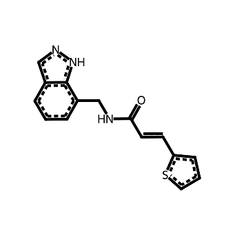 O=C(C=Cc1cccs1)NCc1cccc2cn[nH]c12